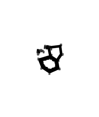 [N+3].c1ccc2c(c1)CCN2